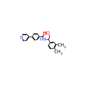 Cc1ccc(C(CO)NC(=O)c2ccc(-c3ccncc3)cc2)cc1C